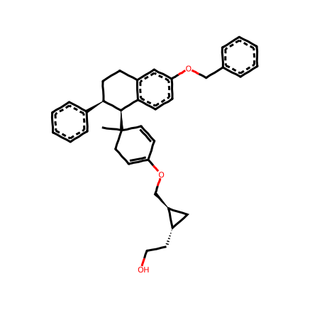 CC1([C@@H]2c3ccc(OCc4ccccc4)cc3CC[C@@H]2c2ccccc2)C=CC(OC[C@H]2C[C@@H]2CCO)=CC1